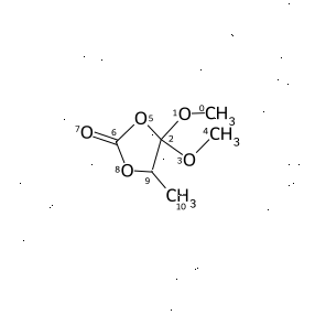 COC1(OC)OC(=O)OC1C